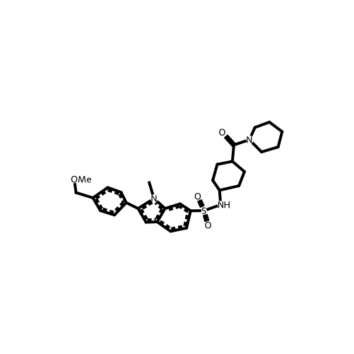 COCc1ccc(-c2cc3ccc(S(=O)(=O)NC4CCC(C(=O)N5CCCCC5)CC4)cc3n2C)cc1